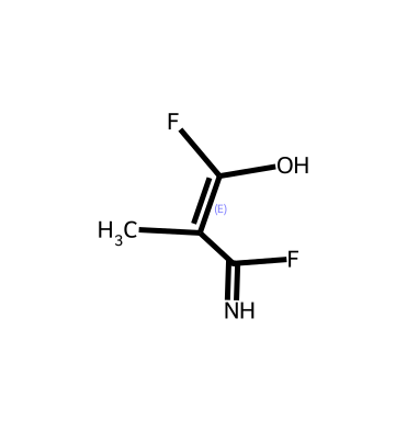 C/C(C(=N)F)=C(/O)F